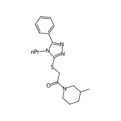 CCCn1c(SCC(=O)N2CCCC(C)C2)nnc1-c1ccccc1